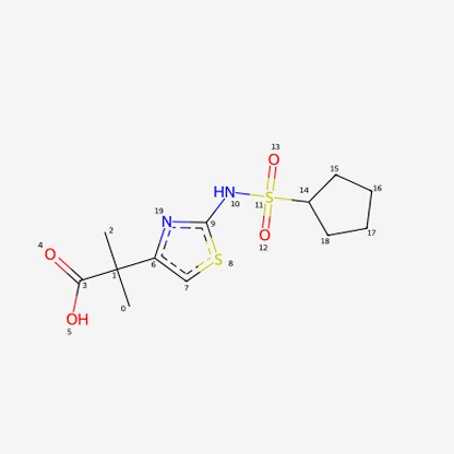 CC(C)(C(=O)O)c1csc(NS(=O)(=O)C2CCCC2)n1